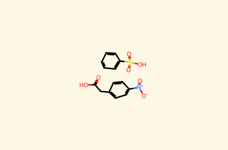 O=C(O)Cc1ccc([N+](=O)[O-])cc1.O=S(=O)(O)c1ccccc1